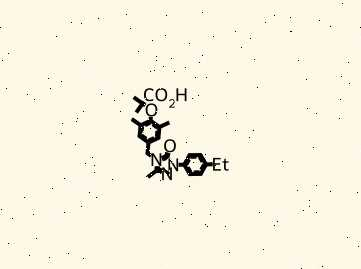 CCc1ccc(-n2nc(C)n(Cc3cc(C)c(OC(C)(C)C(=O)O)c(C)c3)c2=O)cc1